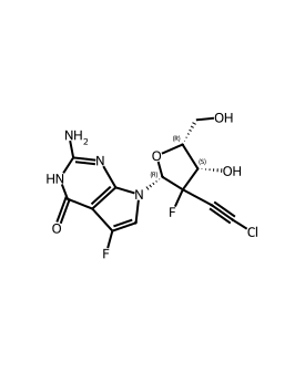 Nc1nc2c(c(F)cn2[C@@H]2O[C@H](CO)[C@H](O)C2(F)C#CCl)c(=O)[nH]1